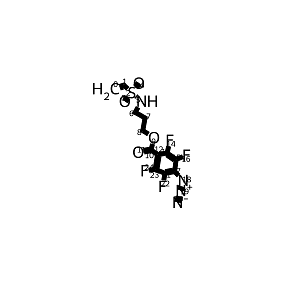 C=CS(=O)(=O)NCCCOC(=O)c1c(F)c(F)c(N=[N+]=[N-])c(F)c1F